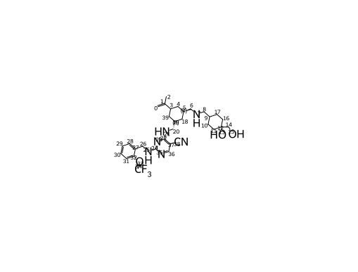 C=C(C)C1C[C@@H](CNCC2CCC(O)(CO)CC2)C[C@H](CNc2nc(NCc3ccccc3OC(F)(F)F)ncc2C#N)C1